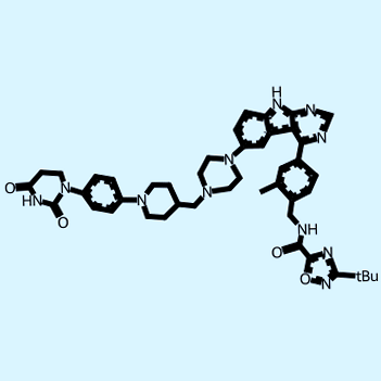 Cc1cc(-c2ncnc3[nH]c4ccc(N5CCN(CC6CCN(c7ccc(N8CCC(=O)NC8=O)cc7)CC6)CC5)cc4c23)ccc1CNC(=O)c1nc(C(C)(C)C)no1